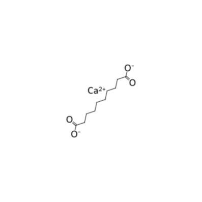 O=C([O-])CCCCCCCCC(=O)[O-].[Ca+2]